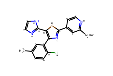 CC(=O)Nc1cc(-c2nc(-c3cc(C)ccc3Cl)c(-c3ncc[nH]3)s2)ccn1